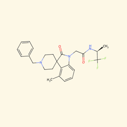 Cc1cccc2c1C1(CCN(Cc3ccccc3)CC1)C(=O)N2CC(=O)N[C@@H](C)C(F)(F)F